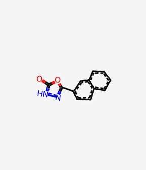 O=c1[nH]nc(-c2ccc3ccccc3c2)o1